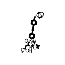 COC(=O)CC(NC(=O)OC(C)(C)C)C(=O)Nc1ccc(C#Cc2ccc(CN3CCOCC3)cc2)cc1